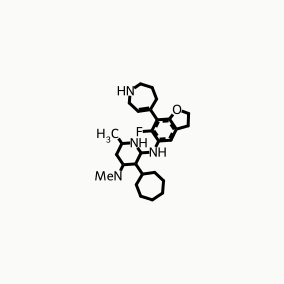 CNC1CC(C)NC(Nc2cc3c(c(C4=CCNCCC4)c2F)OCC3)C1C1CCCCCC1